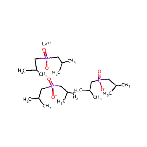 CC(C)CP(=O)([O-])CC(C)C.CC(C)CP(=O)([O-])CC(C)C.CC(C)CP(=O)([O-])CC(C)C.[La+3]